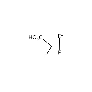 CCF.O=C(O)CF